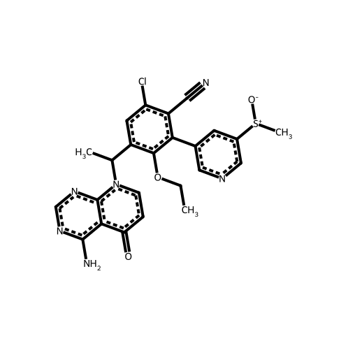 CCOc1c(C(C)n2ccc(=O)c3c(N)ncnc32)cc(Cl)c(C#N)c1-c1cncc([S+](C)[O-])c1